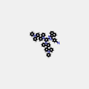 N#Cc1ccc(-c2nc(-c3cc(-n4c5ccccc5c5c(-c6cccc7c6c6ccccc6n7-c6ccccc6)cccc54)cc(-n4c5ccccc5c5c(-c6cccc7c6c6ccccc6n7-c6ccccc6)cccc54)c3)nc3c2-c2cccc4cccc-3c24)cc1